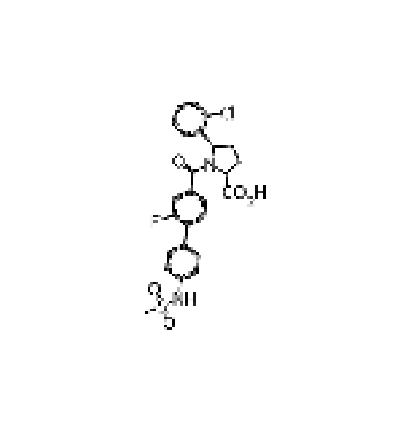 CS(=O)(=O)Nc1ccc(-c2ccc(C(=O)N3[C@@H](c4ccccc4Cl)CC[C@H]3C(=O)O)cc2F)cc1